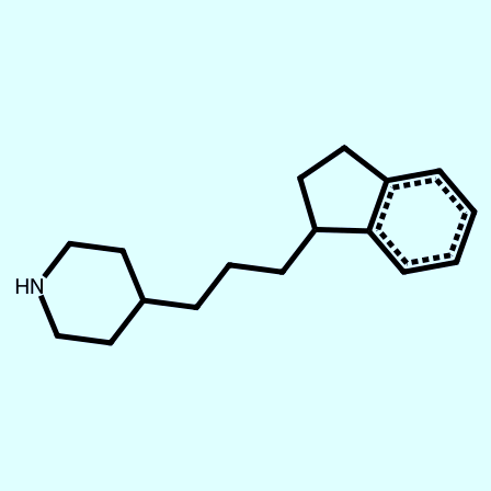 c1ccc2c(c1)CCC2CCCC1CCNCC1